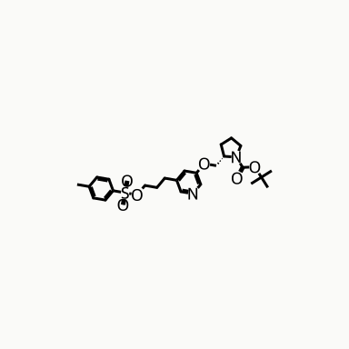 Cc1ccc(S(=O)(=O)OCCCc2cncc(OC[C@@H]3CCCN3C(=O)OC(C)(C)C)c2)cc1